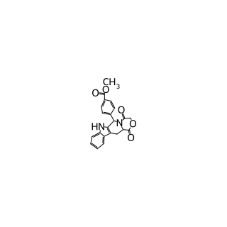 COC(=O)c1ccc(C2c3[nH]c4ccccc4c3CC3C(=O)OCC(=O)N32)cc1